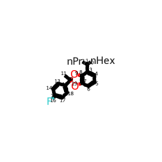 CCCCCCC(CCC)c1cccc2c1OC(C)(c1ccc(F)cc1)O2